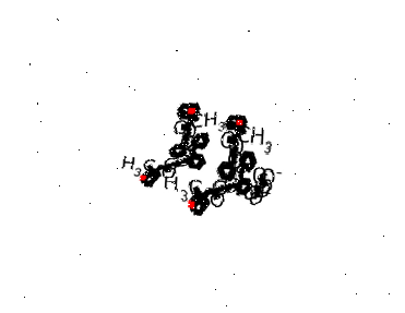 CC1C2CC3CC(C2)CC1(CC(=O)OCOc1ccccc1[S+](c1ccccc1)c1ccccc1OCOC(=O)CC12CC4CC(CC(C4)C1C)C2)C3.CC1C2CC3CC(C2)CC1(CC(=O)OCOc1ccccc1[S+](c1ccccc1)c1ccccc1OCOC(=O)CC12CC4CC(CC(C4)C1C)C2)C3.O=S(=O)([O-])CS(=O)(=O)[O-]